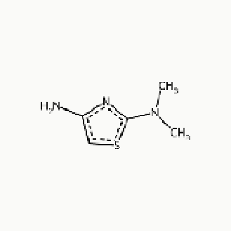 CN(C)c1nc(N)cs1